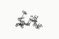 CC[C@@]1(O)C(=O)OCc2c1cc1n(c2=O)Cc2c-1nc1cc(F)c(C)c3c1c2[C@@H](NC(=O)[C@H]1CC[C@H](OCNC(=O)CNC(=O)[C@H](Cc2ccccc2)NC(=O)CNC(=O)CNC(=O)CCCCCN2C(=O)C=CC2=O)CC1)CC3